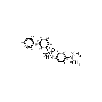 CN(C)c1ccc(NS(=O)(=O)c2cccc(-c3cccnc3)c2)cc1